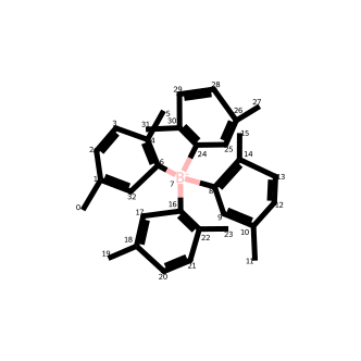 Cc1ccc(C)c([B-](c2cc(C)ccc2C)(c2cc(C)ccc2C)c2cc(C)ccc2C)c1